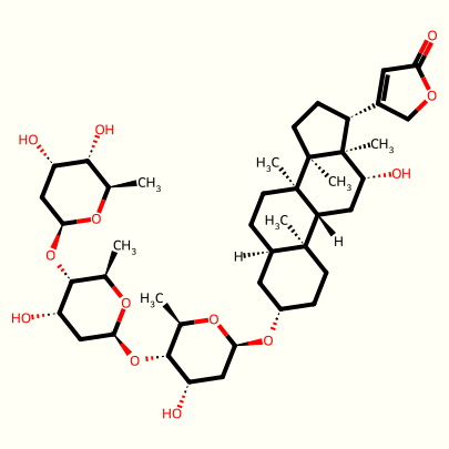 C[C@H]1O[C@@H](O[C@H]2[C@@H](O)C[C@H](O[C@H]3[C@@H](O)C[C@H](O[C@H]4CC[C@@]5(C)[C@H](CC[C@]6(C)[C@@H]5C[C@@H](O)[C@]5(C)[C@@H](C7=CC(=O)OC7)CC[C@@]56C)C4)O[C@@H]3C)O[C@@H]2C)C[C@H](O)[C@@H]1O